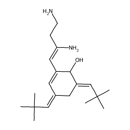 CC(C)(C)C=C1C=C(C=C(N)CCN)C(O)C(=CC(C)(C)C)C1